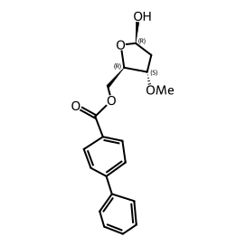 CO[C@H]1C[C@H](O)O[C@@H]1COC(=O)c1ccc(-c2ccccc2)cc1